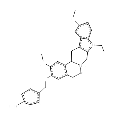 COc1ccc2c(c1)c1c(n2CO)CN2CCc3cc(OCc4ccc(N)cc4)c(OC)cc3C2C1